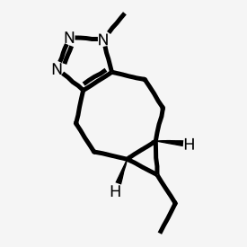 CCC1[C@H]2CCc3c(nnn3C)CC[C@@H]12